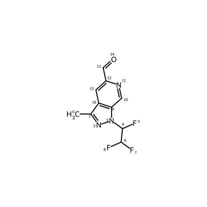 Cc1nn(C(F)C(F)F)c2cnc(C=O)cc12